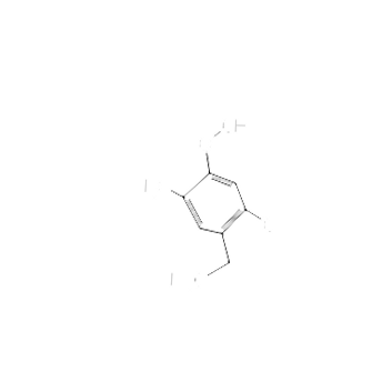 CCc1cc(C)c(OC)cc1Cl